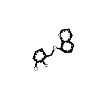 Fc1c(Cl)cccc1COc1cccc2cccnc12